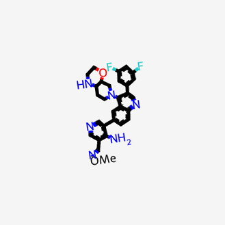 CON=Cc1cncc(-c2ccc3ncc(-c4cc(F)cc(F)c4)c(N4CCC5NCCOC5C4)c3c2)c1N